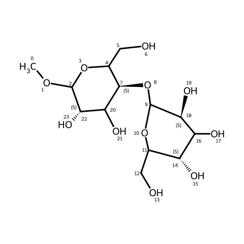 COC1OC(CO)[C@@H](OC2OC(CO)[C@@H](O)C(O)[C@@H]2O)C(O)[C@@H]1O